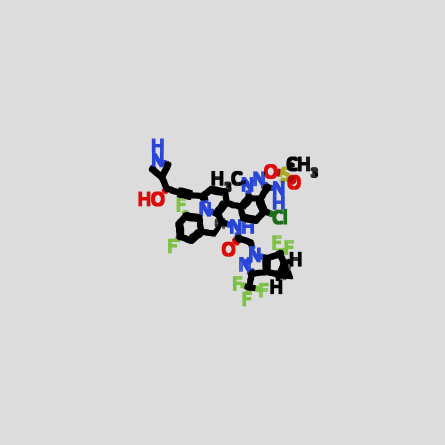 Cn1nc(NS(C)(=O)=O)c2c(Cl)ccc(-c3ccc(C#CC(O)C4CNC4)nc3[C@H](Cc3cc(F)cc(F)c3)NC(=O)Cn3nc(C(F)(F)F)c4c3C(F)(F)[C@@H]3C[C@H]43)c21